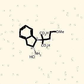 COCCC(C(=O)O)(C(=O)O)[C@@H]1c2ccccc2C[C@H]1N.Cl